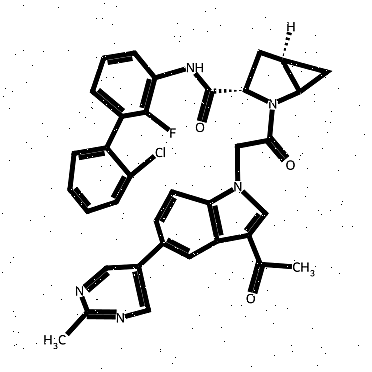 CC(=O)c1cn(CC(=O)N2C3C[C@@H]3C[C@H]2C(=O)Nc2cccc(-c3ccccc3Cl)c2F)c2ccc(-c3cnc(C)nc3)cc12